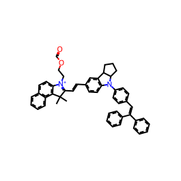 CC1(C)C(/C=C/c2ccc3c(c2)C2CCCC2N3c2ccc(C=C(c3ccccc3)c3ccccc3)cc2)=[N+](CCOC=O)c2ccc3ccccc3c21